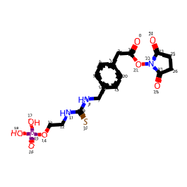 O=C(Cc1ccc(CNC(=S)NCCOP(=O)(O)O)cc1)ON1C(=O)CCC1=O